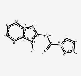 Cn1c(NC(=S)n2ccnc2)nc2ccccc21